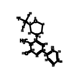 Cn1c(N2CCO[C@H](C(F)(F)F)C2)nc(-c2ccncn2)cc1=O